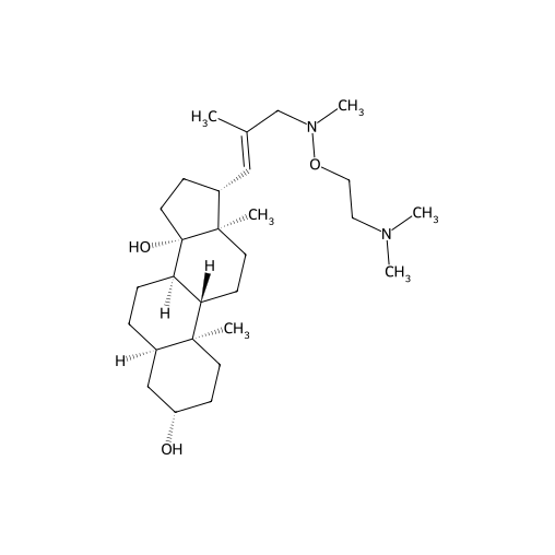 C/C(=C\[C@H]1CC[C@]2(O)[C@@H]3CC[C@@H]4C[C@@H](O)CC[C@]4(C)[C@H]3CC[C@]12C)CN(C)OCCN(C)C